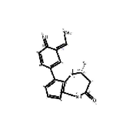 CN/C=C1/C=C(c2cccc3c2N[C@H](C)CC(=O)N3)C=CC1=N